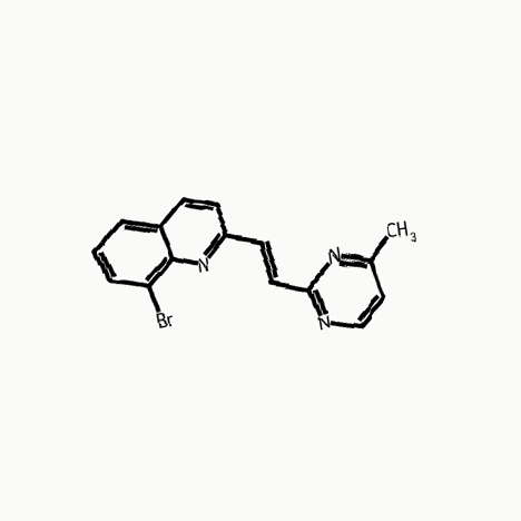 Cc1ccnc(C=Cc2ccc3cccc(Br)c3n2)n1